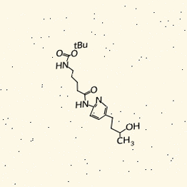 CC(O)CCc1ccc(NC(=O)CCCCNC(=O)OC(C)(C)C)nc1